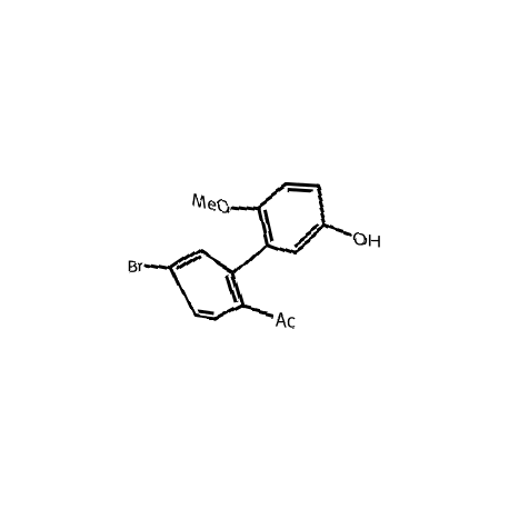 COc1ccc(O)cc1-c1cc(Br)ccc1C(C)=O